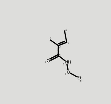 CC=C(C)C(=O)NOCC